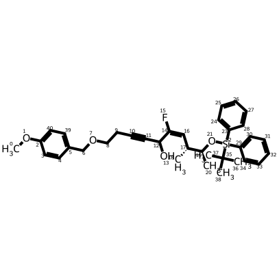 COc1ccc(COCCC#CC(O)/C(F)=C\[C@@H](C)[C@H](C)O[Si](c2ccccc2)(c2ccccc2)C(C)(C)C)cc1